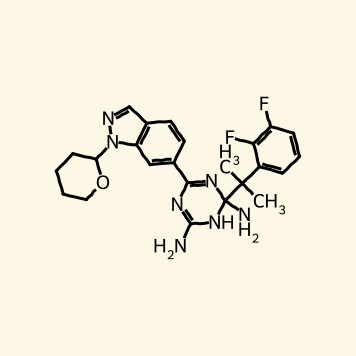 CC(C)(c1cccc(F)c1F)C1(N)N=C(c2ccc3cnn(C4CCCCO4)c3c2)N=C(N)N1